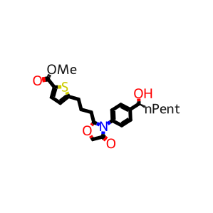 CCCCC[C@H](O)c1ccc(N2C(=O)COC2CCCc2ccc(C(=O)OC)s2)cc1